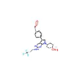 C[C@]1(O)CC[C@@H](n2cc(-c3ccc(C=O)cc3)c3cnc(NCCC(F)(F)F)nc32)CC1